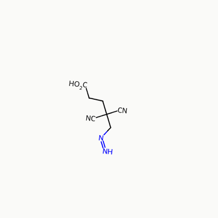 N#CC(C#N)(CCC(=O)O)CN=N